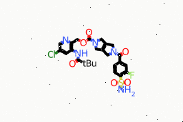 CC(C)(C)C(=O)Nc1cc(Cl)cnc1COC(=O)N1CC2=C(C1)CN(C(=O)c1ccc(S(N)(=O)=O)c(F)c1)C2